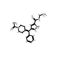 BC(=O)N1CCC(=C(c2ccccc2)c2cc(C(=O)OCC)[nH]n2)CC1